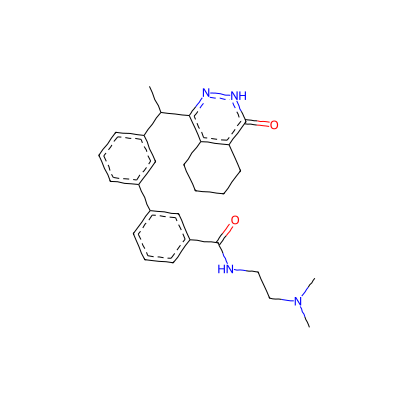 CC(c1cccc(-c2cccc(C(=O)NCCN(C)C)c2)c1)c1n[nH]c(=O)c2c1CCCC2